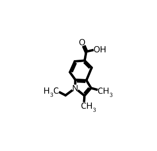 CCn1c(C)c(C)c2cc(C(=O)O)ccc21